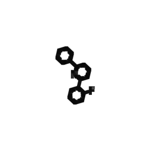 Fc1ccccc1-c1cccc(-c2ccccc2)n1